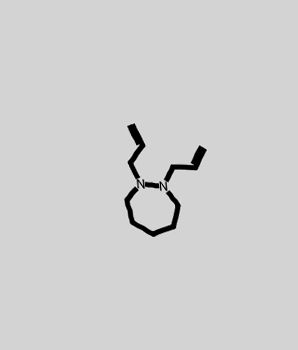 C=CCN1CCCCCN1CC=C